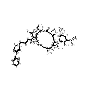 CC[C@H]1OC(=O)[C@H](C)C(=O)C[C@@H](O[C@@H]2O[C@H](C)CC(N(C)C)C2O)[C@@](C)(OC)C[C@@H](C)CN[C@H](C)[C@H]2N(CCCCn3cc(-c4ccccn4)nn3)C(=O)O[C@]12C